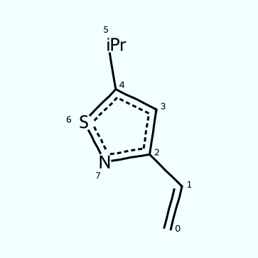 C=Cc1cc(C(C)C)sn1